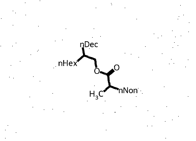 CCCCCCCCCCC(CCCCCC)COC(=O)C(C)CCCCCCCCC